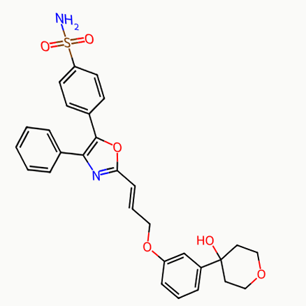 NS(=O)(=O)c1ccc(-c2oc(/C=C/COc3cccc(C4(O)CCOCC4)c3)nc2-c2ccccc2)cc1